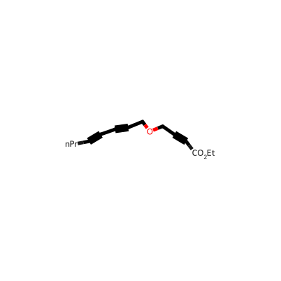 CCCC#CC#CCOCC#CC(=O)OCC